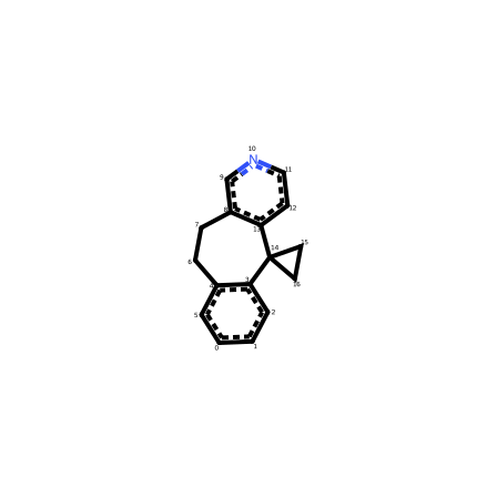 c1ccc2c(c1)CCc1cnccc1C21CC1